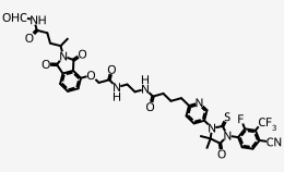 CC(CCC(=O)NC=O)N1C(=O)c2cccc(OCC(=O)NCCNC(=O)CCCc3ccc(N4C(=S)N(c5ccc(C#N)c(C(F)(F)F)c5F)C(=O)C4(C)C)cn3)c2C1=O